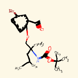 CC(C)CC(C)(COc1ccc(Br)cc1C=O)NC(=O)OC(C)(C)C